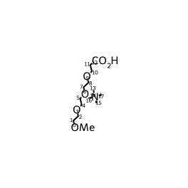 COCCOCCOCCOCCC(=O)O.C[N+](C)(C)C